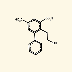 O=C(O)c1cc(C(=O)O)c(CCO)c(-c2ccccc2)c1